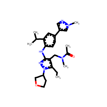 CCc1c(CN(C)C(C)=O)c(Nc2ccc(-c3cnn(C)c3)cc2C(C)C)nn1C1CCOC1